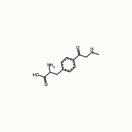 CNCC(=O)c1ccc(CC(N)C(=O)O)cc1